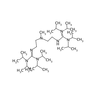 CC(C)N(C(=NCCN(C)CCNC(N(C(C)C)C(C)C)=[N+](C(C)C)C(C)C)N(C(C)C)C(C)C)C(C)C